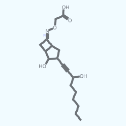 CCCCCCC(O)C#CC1CC2/C(=N\OCC(=O)O)CC2C1O